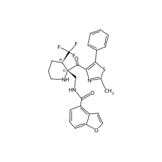 Cc1nc(C(=O)[C@]2(CNC(=O)c3cccc4occc34)NCCC[C@H]2C(F)(F)F)c(-c2ccccc2)s1